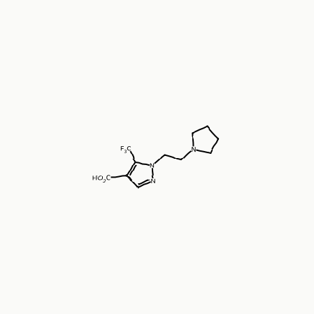 O=C(O)c1cnn(CCN2CCCC2)c1C(F)(F)F